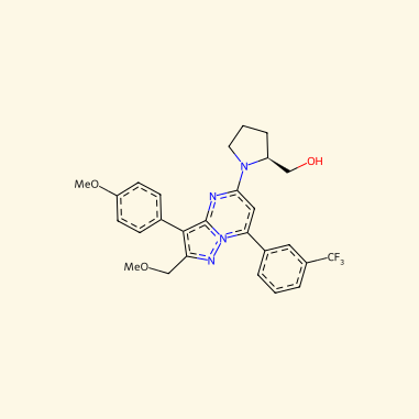 COCc1nn2c(-c3cccc(C(F)(F)F)c3)cc(N3CCC[C@H]3CO)nc2c1-c1ccc(OC)cc1